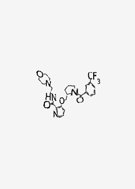 O=C(NCCN1CCOCC1)c1ncccc1OCC1CCCN1C(=O)c1cccc(C(F)(F)F)c1